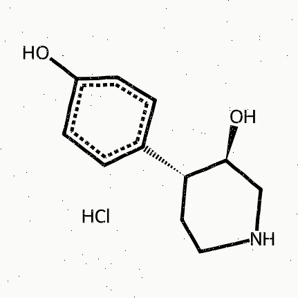 Cl.Oc1ccc([C@H]2CCNC[C@@H]2O)cc1